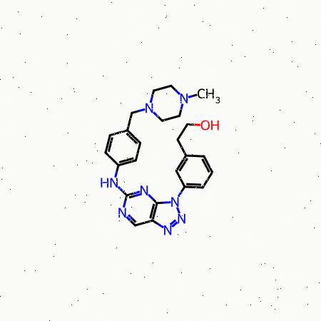 CN1CCN(Cc2ccc(Nc3ncc4nnn(-c5cccc(CCO)c5)c4n3)cc2)CC1